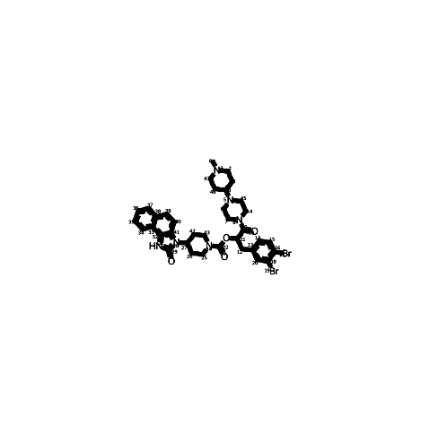 CN1CCC(N2CCN(C(=O)C(Cc3ccc(Br)c(Br)c3)OC(=O)N3CCC(n4c(=O)[nH]c5c6ccccc6ccc54)CC3)CC2)CC1